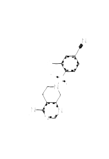 N#Cc1ccc(S(=O)(=O)N2CCc3c(N)ncnc3C2)c(Cl)c1